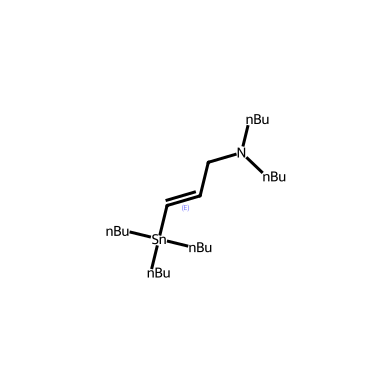 CCCCN(C/C=[CH]/[Sn]([CH2]CCC)([CH2]CCC)[CH2]CCC)CCCC